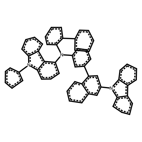 c1ccc(-c2ccccc2N(c2cccc(-c3cc(-n4c5ccccc5c5ccccc54)cc4ccccc34)c2)c2cccc3c2c2ccccc2n3-c2ccccc2)cc1